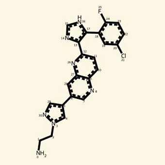 NCCn1cc(-c2cnc3ccc(-c4nc[nH]c4-c4cc(Cl)ccc4F)nc3c2)cn1